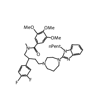 CCCCCn1c(N2CCCN(CCC(CN(C)C(=O)c3cc(OC)c(OC)c(OC)c3)c3ccc(F)c(F)c3)CC2)nc2ccccc21